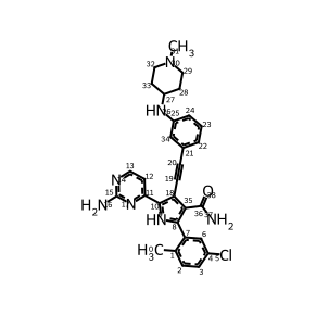 Cc1ccc(Cl)cc1-c1[nH]c(-c2ccnc(N)n2)c(C#Cc2cccc(NC3CCN(C)CC3)c2)c1C(N)=O